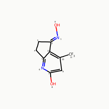 O/N=C1\CCc2nc(O)cc(C(F)(F)F)c21